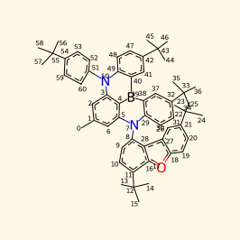 Cc1cc2c3c(c1)N(c1ccc(C(C)(C)C)c4oc5ccc(C(C)(C)C)cc5c14)c1ccc(C(C)(C)C)cc1B3c1cc(C(C)(C)C)ccc1N2c1ccc(C(C)(C)C)cc1